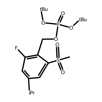 CC(C)c1cc(F)c(COP(=O)(OC(C)(C)C)OC(C)(C)C)c(S(C)(=O)=O)c1